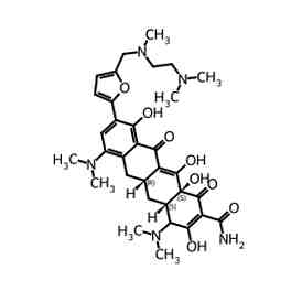 CN(C)CCN(C)Cc1ccc(-c2cc(N(C)C)c3c(c2O)C(=O)C2=C(O)[C@]4(O)C(=O)C(C(N)=O)=C(O)C(N(C)C)[C@@H]4C[C@@H]2C3)o1